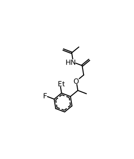 C=C(C)NC(=C)COC(C)c1cccc(F)c1CC